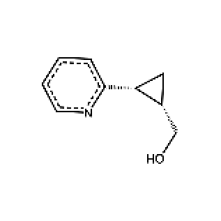 OC[C@H]1C[C@H]1c1ccccn1